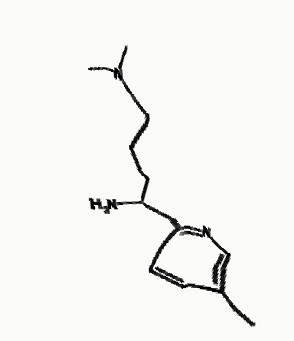 Cc1ccc(C(N)CCCN(C)C)nc1